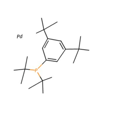 CC(C)(C)c1cc(P(C(C)(C)C)C(C)(C)C)cc(C(C)(C)C)c1.[Pd]